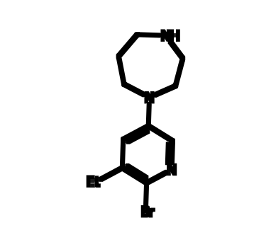 CCc1cc(N2CCCNCC2)cnc1Br